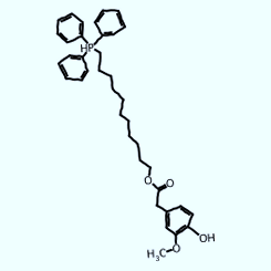 COc1cc(CC(=O)OCCCCCCCCCCC[PH](c2ccccc2)(c2ccccc2)c2ccccc2)ccc1O